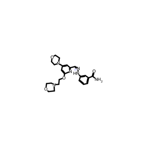 NC(=O)c1cccc(N/N=C\c2cc(N3CCOCC3)cc(OCCN3CCOCC3)n2)c1